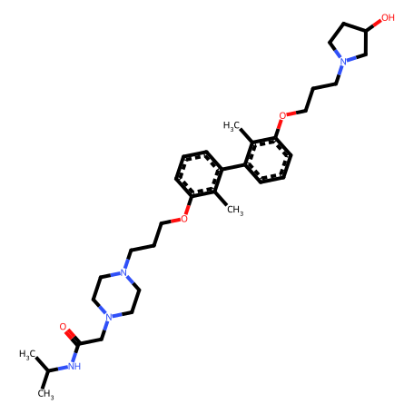 Cc1c(OCCCN2CCN(CC(=O)NC(C)C)CC2)cccc1-c1cccc(OCCCN2CCC(O)C2)c1C